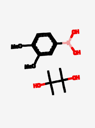 CC(C)(O)C(C)(C)O.COc1ccc(B(O)O)cc1OC